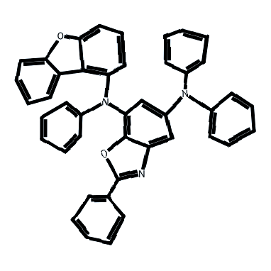 c1ccc(-c2nc3cc(N(c4ccccc4)c4ccccc4)cc(N(c4ccccc4)c4cccc5oc6ccccc6c45)c3o2)cc1